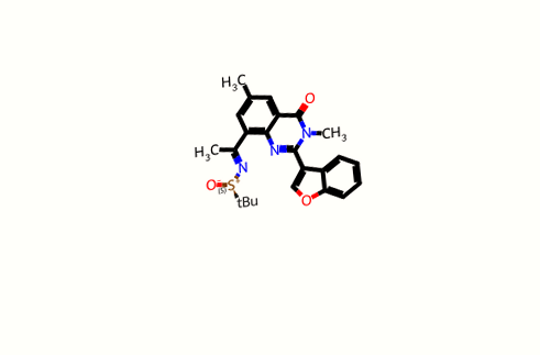 CC(=N[S@+]([O-])C(C)(C)C)c1cc(C)cc2c(=O)n(C)c(-c3coc4ccccc34)nc12